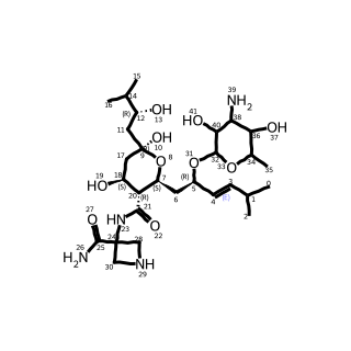 CC(C)/C=C/[C@@H](C[C@@H]1O[C@](O)(C[C@@H](O)C(C)C)C[C@H](O)[C@H]1C(=O)NC1(C(N)=O)CNC1)OC1OC(C)C(O)C(N)C1O